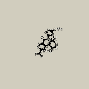 COc1nnc(NC(=O)c2cnc(C(F)F)cc2-c2cc(Cl)ncc2OC)s1